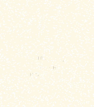 CCCC(=S)NP(N)(O)=S